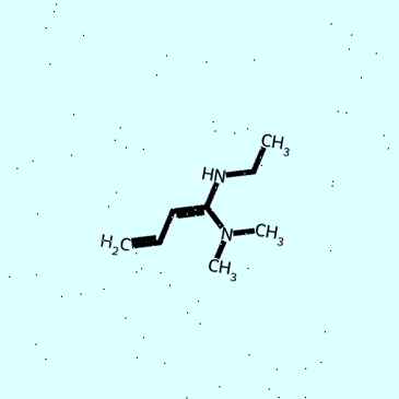 C=C/C=C(/NCC)N(C)C